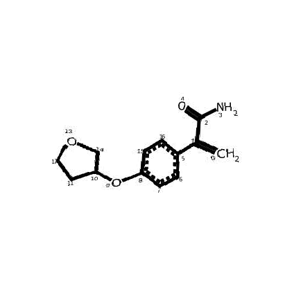 C=C(C(N)=O)c1ccc(OC2CCOC2)cc1